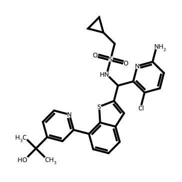 CC(C)(O)c1ccnc(-c2cccc3cc(C(NS(=O)(=O)CC4CC4)c4nc(N)ccc4Cl)sc23)c1